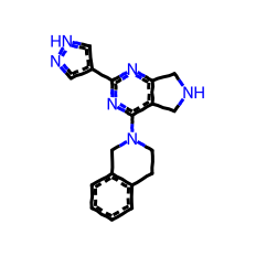 c1ccc2c(c1)CCN(c1nc(-c3cn[nH]c3)nc3c1CNC3)C2